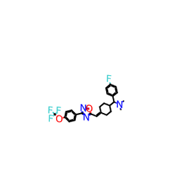 CN(C)C(c1ccc(F)cc1)C1CCC(=Cc2nc(-c3ccc(OC(F)(F)F)cc3)no2)CC1